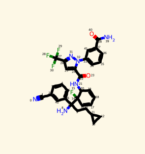 N#Cc1cccc(C(N)(CCC2CC2)C2(F)C=CC=CC2NC(=O)c2cc(C(F)(F)F)nn2-c2cccc(C(N)=O)c2)c1